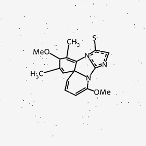 COC1=CC=CC23C=C(C)C(OC)C(C)=C2n2c([S])cnc2N13